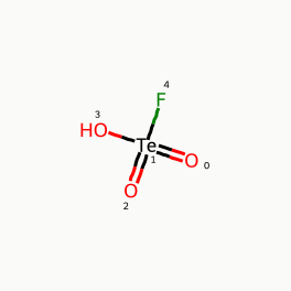 O=[Te](=O)(O)F